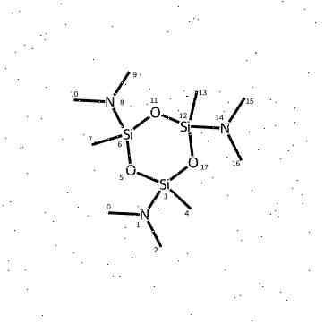 CN(C)[Si]1(C)O[Si](C)(N(C)C)O[Si](C)(N(C)C)O1